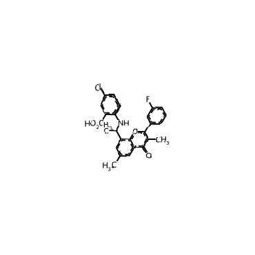 Cc1cc(C(C)Nc2ccc(Cl)cc2C(=O)O)c2oc(-c3cccc(F)c3)c(C)c(=O)c2c1